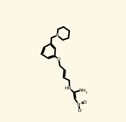 N/C(=C\[N+](=O)[O-])NC/C=C/COc1cccc(CN2CCCCC2)c1